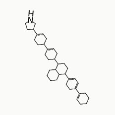 C1=C(C2=CC=C(C3CCC(C4CC=C(C5CC=C(C6CCNC6)CC5)CC4)C4CCCCC34)CC2)CCCC1